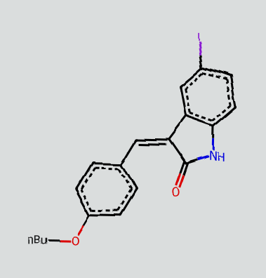 CCCCOc1ccc(C=C2C(=O)Nc3ccc(I)cc32)cc1